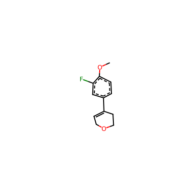 COc1ccc(C2=CCOCC2)cc1F